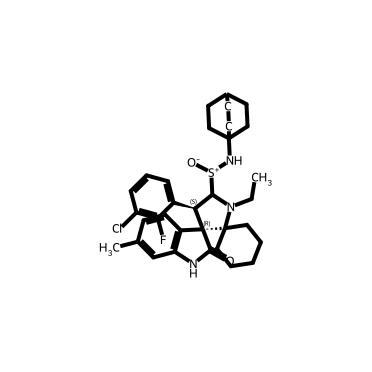 CCN1C([S+]([O-])NC23CCC(CC2)CC3)[C@H](c2cccc(Cl)c2F)[C@]2(C(=O)Nc3cc(C)ccc32)C12CCCCC2